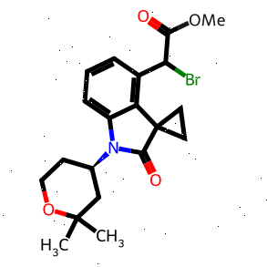 COC(=O)C(Br)c1cccc2c1C1(CC1)C(=O)N2[C@@H]1CCOC(C)(C)C1